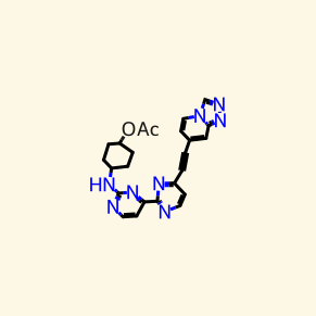 CC(=O)OC1CCC(Nc2nccc(-c3nccc(C#Cc4ccn5cnnc5c4)n3)n2)CC1